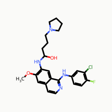 COc1cc2ccnc(Nc3ccc(F)c(Cl)c3)c2cc1NC(O)CCCN1CCCC1